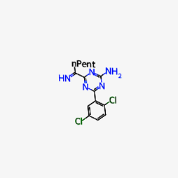 CCCCCC(=N)c1nc(N)nc(-c2cc(Cl)ccc2Cl)n1